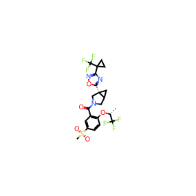 C[C@@H](Oc1ccc(S(C)(=O)=O)cc1C(=O)N1CC2C[C@]2(c2nc(C3(C(F)(F)F)CC3)no2)C1)C(F)(F)F